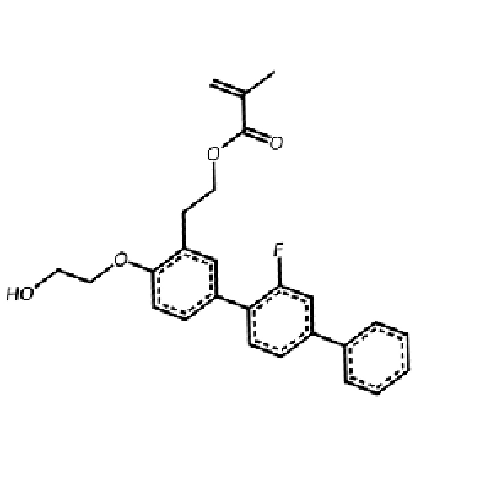 C=C(C)C(=O)OCCc1cc(-c2ccc(-c3ccccc3)cc2F)ccc1OCCO